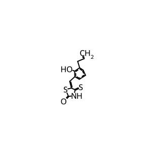 C=CCc1cccc(C=C2SC(=O)NC2=S)c1O